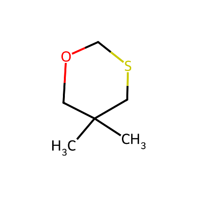 CC1(C)COCSC1